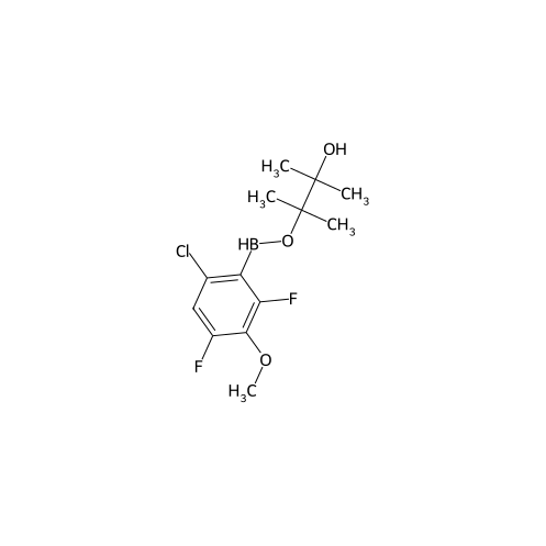 COc1c(F)cc(Cl)c(BOC(C)(C)C(C)(C)O)c1F